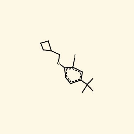 CC(C)(C)c1ccc(OCC2CCC2)c(F)c1